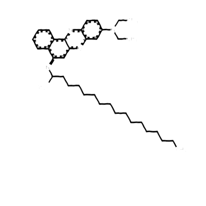 CCCCCCCCCCCCCCCCC(C)N=c1cc2oc3cc(N(CC)CC)ccc3nc-2c2ccccc12